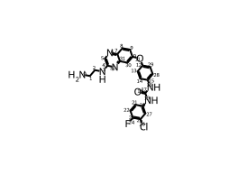 NCCNc1cnc2ccc(Oc3ccc(NC(=O)Nc4ccc(F)c(Cl)c4)cc3)cc2n1